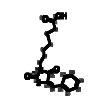 O=C(O)CCCCCCN1C(=O)SC(=Cc2ccccc2)C1=O